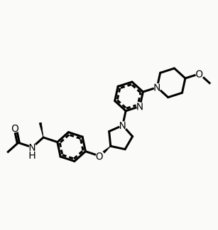 COC1CCN(c2cccc(N3CC[C@@H](Oc4ccc([C@H](C)NC(C)=O)cc4)C3)n2)CC1